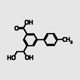 Cc1ccc(-c2cc(C(=O)O)cc(C(O)CO)c2)cc1